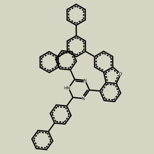 c1ccc(C2=NC(c3cccc4oc5ccc(-c6cc(-c7ccccc7)cc(-c7ccccc7)c6)cc5c34)=NC(c3ccc(-c4ccccc4)cc3)N2)cc1